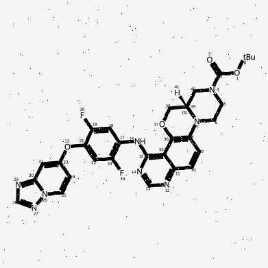 CC(C)(C)OC(=O)N1CCN2c3ccc4ncnc(Nc5cc(F)c(Oc6ccn7ncnc7c6)cc5F)c4c3OC[C@@H]2C1